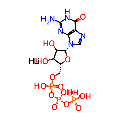 Nc1nc2c(ncn2[C@@H]2O[C@H](COP(=O)(O)OP(=O)(O)OP(=O)(O)O)C(O)C2O)c(=O)[nH]1.[LiH]